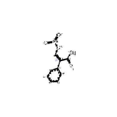 O=C(O)/C(=C\OP(=O)=O)c1ccccc1